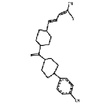 C=C(C1CCC(C=CC=C(F)C#N)CC1)C1CCC(c2ccc(C#N)cc2)CC1